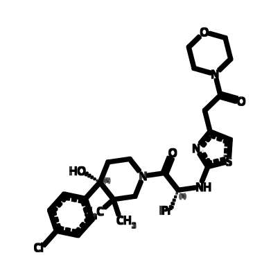 CC(C)[C@@H](Nc1nc(CC(=O)N2CCOCC2)cs1)C(=O)N1CC[C@](O)(c2ccc(Cl)cc2)C(C)(C)C1